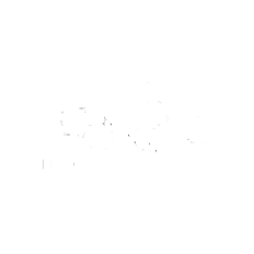 Cc1c(-n2cnc3c(-c4ccccc4)cc(F)cc32)nc2ccc(F)cc2c1C(=O)O